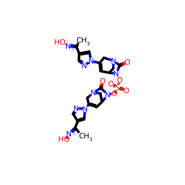 C/C(=N\O)c1cnn(C2=CC3CN(C2)C(=O)N3OS(=O)(=O)ON2C(=O)N3CC(n4cc(/C(C)=N/O)cn4)=CC2C3)c1